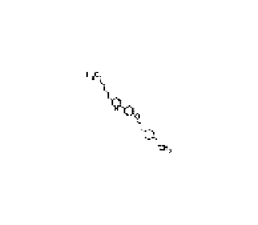 CCCCCCCc1ccc(-c2ccc(OCCC[C@H]3CC[C@H](CCC)CC3)cc2)nc1